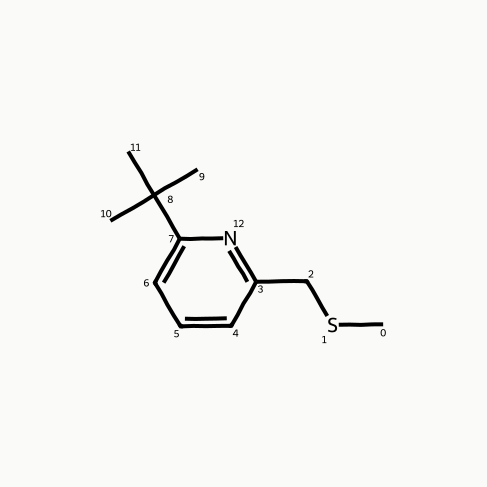 CSCc1cccc(C(C)(C)C)n1